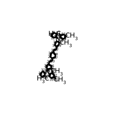 Cc1cc(C)c(N(c2ccccc2)c2ccc(C=Cc3ccc(C=Cc4ccc(N(c5ccccc5)c5c(C)cc(C)cc5C)cc4)cc3)cc2)c(C)c1